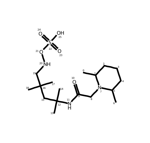 CC1CCCC(C)N1CC(=O)NC(C)(C)CC(C)(C)CNOS(=O)(=O)O